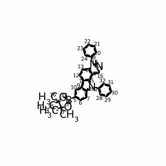 CC1(C)OB(c2ccc3c(c2)c2ccc4c(cnn4-c4ccccc4)c2n3-c2ccccc2)OC1(C)C